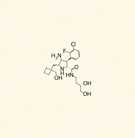 NC1[C@H](CC2(CO)CCC2)N[C@@H](C(=O)NCC[C@H](O)CO)[C@@H]1c1cccc(Cl)c1F